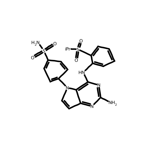 CC(C)S(=O)(=O)c1ccccc1Nc1nc(N)nc2ccn(-c3ccc(S(N)(=O)=O)cc3)c12